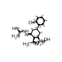 Cc1n[nH]c2c1C(=NNC(=N)N)CC(c1ccccc1Cl)C2.O=S(=O)(O)O